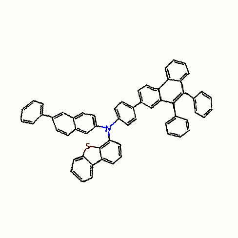 c1ccc(-c2ccc3cc(N(c4ccc(-c5ccc6c(c5)c(-c5ccccc5)c(-c5ccccc5)c5ccccc56)cc4)c4cccc5c4sc4ccccc45)ccc3c2)cc1